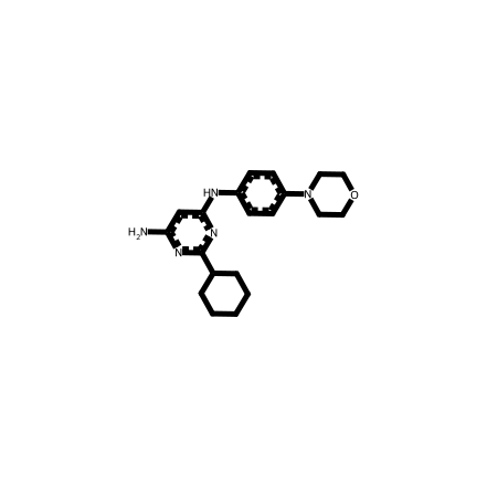 Nc1cc(Nc2ccc(N3CCOCC3)cc2)nc(C2CCCCC2)n1